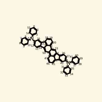 c1ccc(N(c2ccccc2)c2ccc3c(c2)c2cccc4c5cc6c7ccc(N(c8ccccc8)c8ccccc8)cc7c7cccc(c5cc3c24)c76)cc1